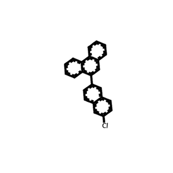 Clc1ccc2cc(-c3cc4ccccc4c4ccccc34)ccc2c1